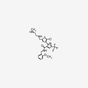 CNCCNCc1cc(-n2nc(C(F)(F)F)cc2C(=O)NCc2ccccc2OC)c(Cl)s1